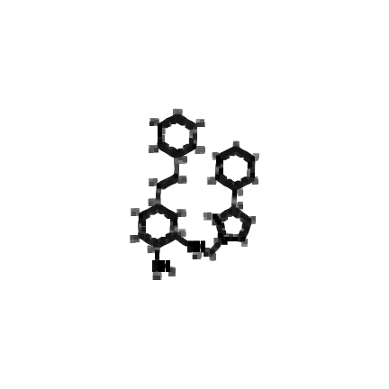 Cn1ccc(-c2ccccc2)n1.Nc1ccc(C=Cc2ccccc2)cc1N